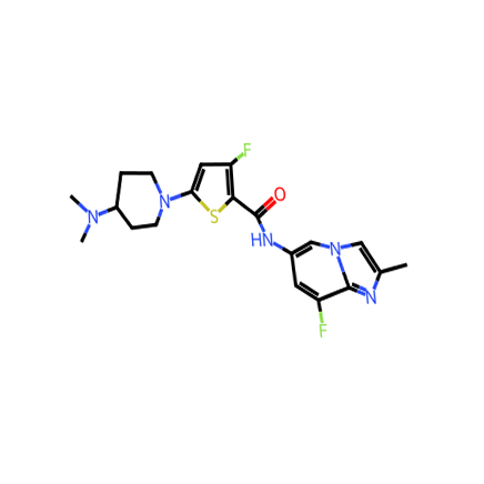 Cc1cn2cc(NC(=O)c3sc(N4CCC(N(C)C)CC4)cc3F)cc(F)c2n1